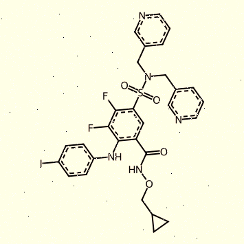 O=C(NOCC1CC1)c1cc(S(=O)(=O)N(Cc2cccnc2)Cc2cccnc2)c(F)c(F)c1Nc1ccc(I)cc1